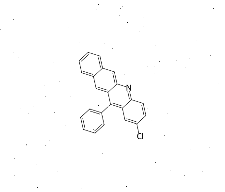 Clc1ccc2nc3cc4ccccc4cc3c(-c3ccccc3)c2c1